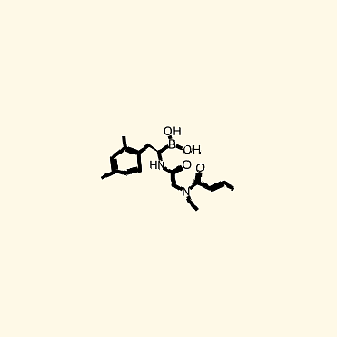 C/C=C/C(=O)N(CC)CC(=O)N[C@@H](Cc1ccc(C)cc1C)B(O)O